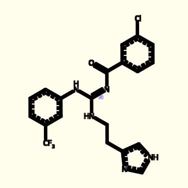 O=C(/N=C(/NCCc1c[nH]cn1)Nc1cccc(C(F)(F)F)c1)c1cccc(Cl)c1